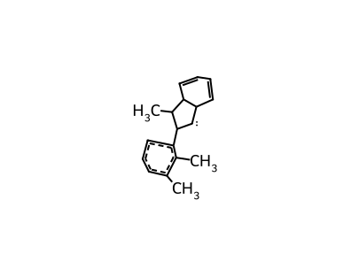 Cc1cccc(C2[C]C3C=CC=CC3C2C)c1C